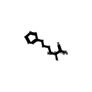 C[C@@H](NCCCc1ccccc1)C(N)=O